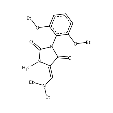 CCOc1cccc(OCC)c1N1C(=O)C(=CN(CC)CC)N(C)C1=O